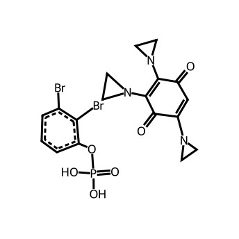 O=C1C=C(N2CC2)C(=O)C(N2CC2)=C1N1CC1.O=P(O)(O)Oc1cccc(Br)c1Br